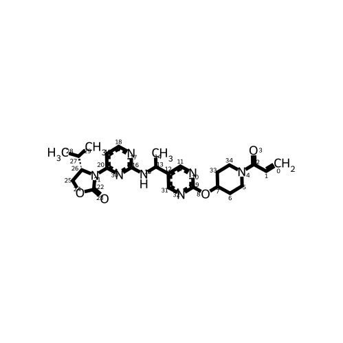 C=CC(=O)N1CCC(Oc2ncc(C(C)Nc3nccc(N4C(=O)OC[C@@H]4C(C)C)n3)cn2)CC1